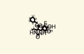 CCC1=C(C(=O)OCC2CCCCC2)C(c2cc(F)c(O)c(OC)c2)NC(=O)N1